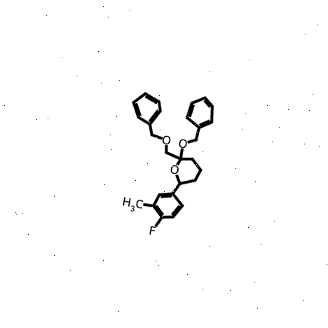 Cc1cc(C2CCCC(COCc3ccccc3)(OCc3ccccc3)O2)ccc1F